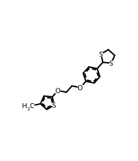 Cc1csc(OCCOc2ccc(C3SCCS3)cc2)c1